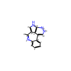 CC1=Nc2ccccc2-c2cnnc3[nH]cc1c23